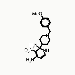 COc1ccc(CN2CCC(C3(N)NC=CC(N)=C3[N+](=O)[O-])CC2)cc1